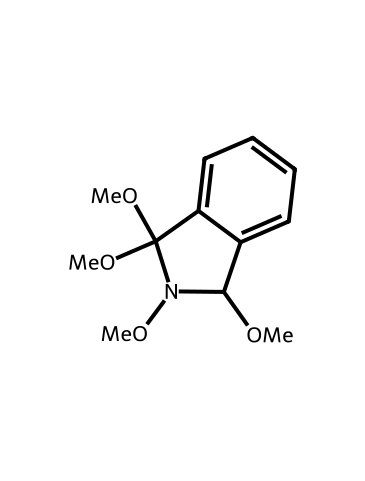 COC1c2ccccc2C(OC)(OC)N1OC